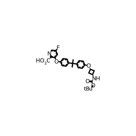 CC(C)(C)OC(=O)N[C@H]1C[C@H](Oc2ccc(C(C)(C)c3ccc(Oc4cc(F)cnc4C(=O)O)cc3)cc2)C1